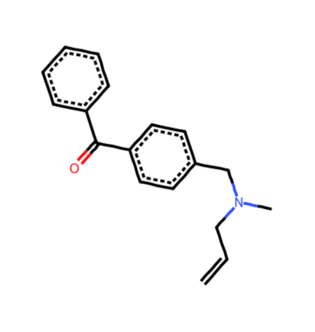 C=CCN(C)Cc1ccc(C(=O)c2ccccc2)cc1